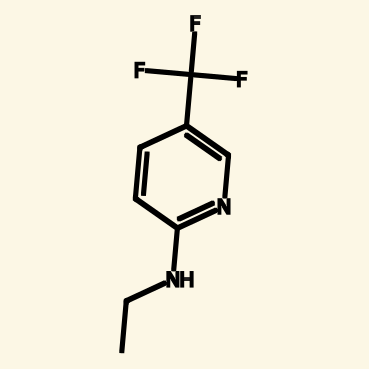 CCNc1ccc(C(F)(F)F)cn1